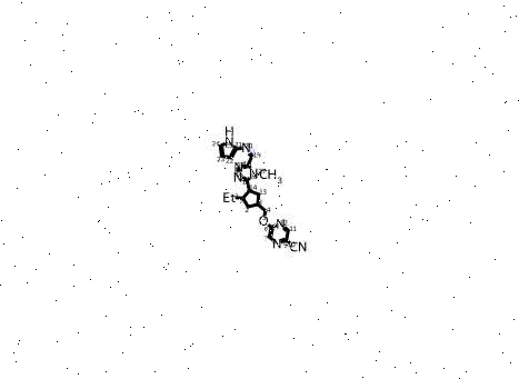 CCC1CC(COc2cnc(C#N)cn2)CC1c1nnc(/C=N\c2ccc[nH]2)n1C